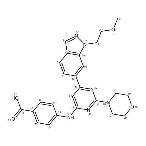 COCCn1ncc2ccc(-c3cc(Nc4ccc(C(=O)O)cc4)nc(N4CCOCC4)n3)cc21